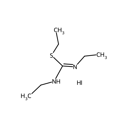 CC/N=C(/NCC)SCC.I